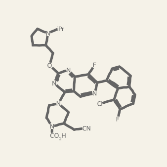 CC(C)N1CCCC1COc1nc(N2CCN(C(=O)O)C(CC#N)C2)c2cnc(-c3cccc4ccc(F)c(Cl)c34)c(F)c2n1